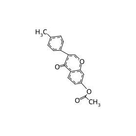 CC(=O)Oc1ccc2c(=O)c(-c3ccc(C)cc3)coc2c1